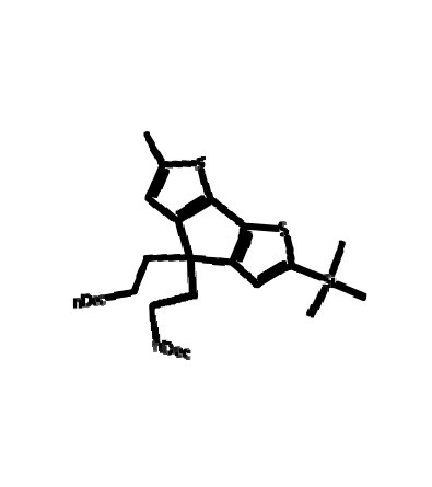 CCCCCCCCCCCCC1(CCCCCCCCCCCC)c2cc(C)sc2-c2sc([Si](C)(C)C)cc21